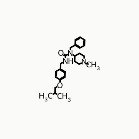 CC(C)COc1ccc(CNC(=O)N(Cc2ccccc2)C2CCN(C)CC2)cc1